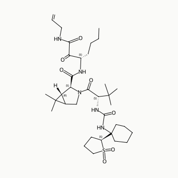 C=CCNC(=O)C(=O)[C@H](CCCC)NC(=O)[C@@H]1[C@@H]2C(CN1C(=O)[C@@H](NC(=O)NC1([C@@H]3CCCS3(=O)=O)CCCCC1)C(C)(C)C)C2(C)C